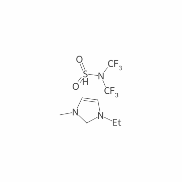 CCN1C=CN(C)C1.O=[SH](=O)N(C(F)(F)F)C(F)(F)F